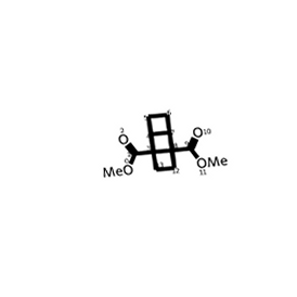 COC(=O)C12C3C4C5C3C1(C(=O)OC)C5C42